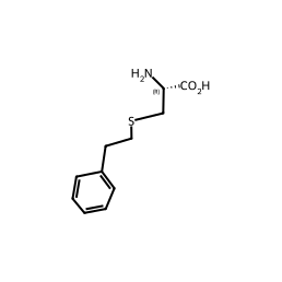 N[C@@H](CSCCc1ccccc1)C(=O)O